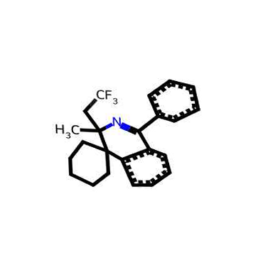 CC1(CC(F)(F)F)N=C(c2ccccc2)c2ccccc2C12CCCCC2